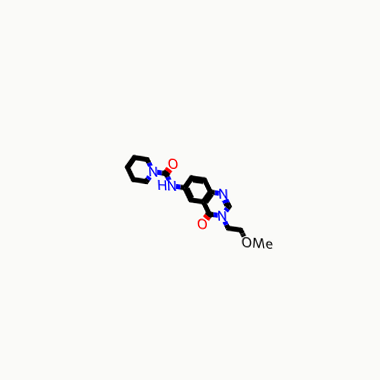 COCCn1cnc2ccc(NC(=O)N3CCCCC3)cc2c1=O